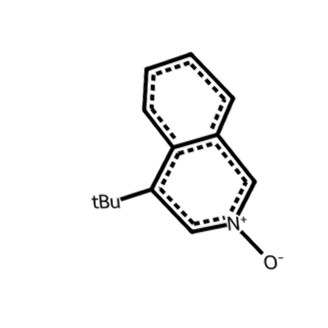 CC(C)(C)c1c[n+]([O-])cc2ccccc12